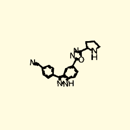 N#Cc1ccc(-c2n[nH]c3ccc(-c4nnc(C5CCCN5)o4)cc23)cc1